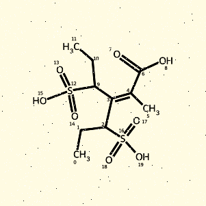 CCC(C(=C(C)C(=O)O)C(CC)S(=O)(=O)O)S(=O)(=O)O